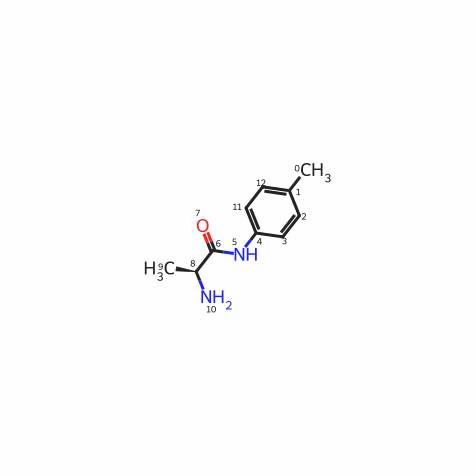 Cc1ccc(NC(=O)[C@H](C)N)cc1